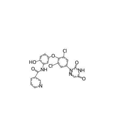 O=C(Nc1cc(Oc2c(Cl)cc(-n3ncc(=O)[nH]c3=O)cc2Cl)ccc1O)c1cccnc1